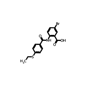 CCSc1ccc(C(=O)Nc2ccc(Br)cc2C(=O)O)cc1